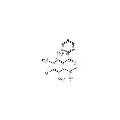 CCCCN(CCCC)c1c(C(=O)O)c(C(=O)O)c(C(=O)O)c(C(=O)O)c1C(=O)c1ccccc1